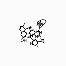 C#CC1c2c(cc(O)cc2-c2nc3c(cc2F)c(C2C4C5CCC(C[C@H]24)N5)nc(=O)n3-c2c(C3CC3)ncnc2C2CC2)C=CC1C